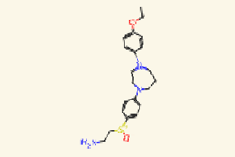 CCOc1ccc(N2CCCN(c3ccc([S+]([O-])CCN)cc3)CC2)cc1